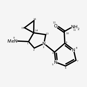 CNC1CN(c2nccnc2C(N)=O)CC12CC2